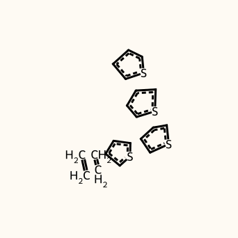 C=C.C=C.c1ccsc1.c1ccsc1.c1ccsc1.c1ccsc1